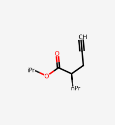 C#CCC(CCC)C(=O)OC(C)C